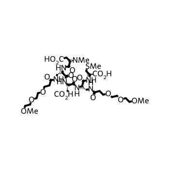 CN[C@@H](CC(=O)O)C(=O)N[C@@H](CNC(=O)CCOCCOCCOC)C(=O)N[C@@H](CC(=O)O)C(=O)N[C@@H](CNC(=O)CCOCCOCCOC)C(=O)N[C@@H](CSC)C(=O)O